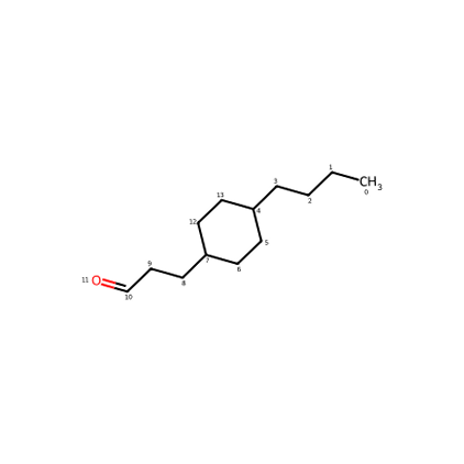 CCCCC1CCC(CCC=O)CC1